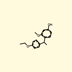 CCOc1ccc(C(C)c2ccc(O)cc2OC)cc1